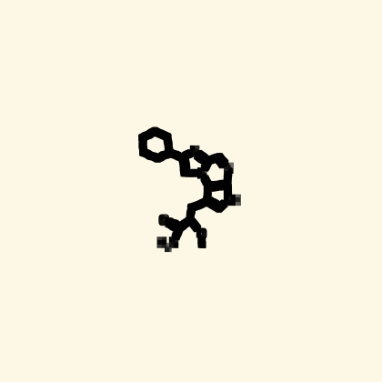 COC(Cc1c[nH]c2ncc3nc(C4CCCCC4)cn3c12)C(N)=O